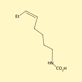 CC/C=C\CCCCNC(=O)O